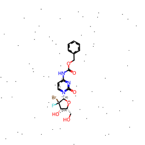 O=C(Nc1ccn([C@@H]2O[C@H](CO)[C@H](O)C2(F)Br)c(=O)n1)OCc1ccccc1